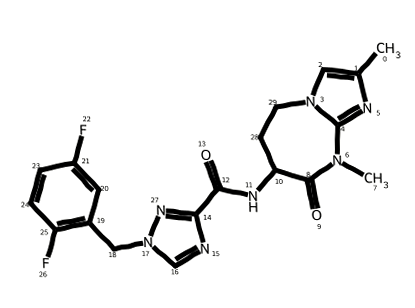 Cc1cn2c(n1)N(C)C(=O)C(NC(=O)c1ncn(Cc3cc(F)ccc3F)n1)CC2